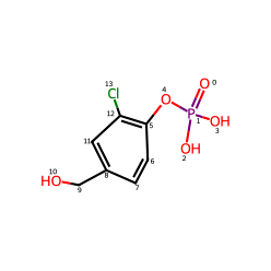 O=P(O)(O)Oc1ccc(CO)cc1Cl